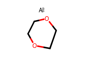 C1COCCO1.[Al]